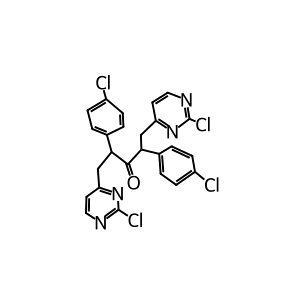 O=C(C(Cc1ccnc(Cl)n1)c1ccc(Cl)cc1)C(Cc1ccnc(Cl)n1)c1ccc(Cl)cc1